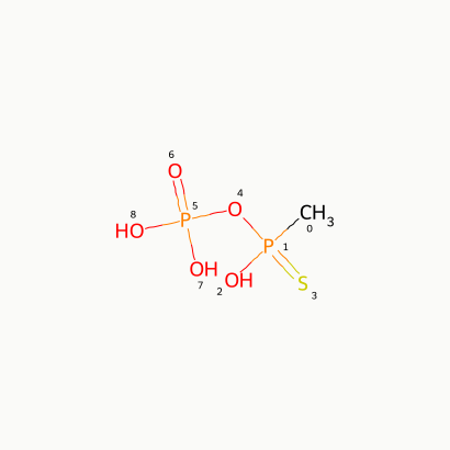 CP(O)(=S)OP(=O)(O)O